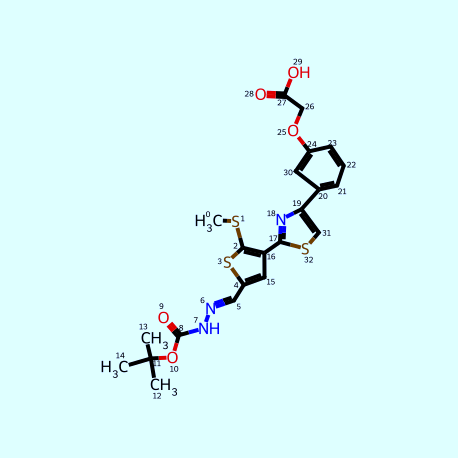 CSc1sc(C=NNC(=O)OC(C)(C)C)cc1-c1nc(-c2cccc(OCC(=O)O)c2)cs1